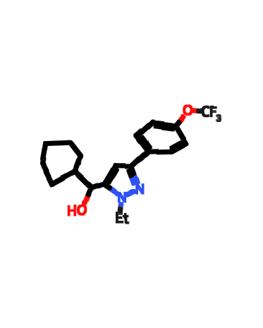 CCn1nc(-c2ccc(OC(F)(F)F)cc2)cc1C(O)C1CCCCC1